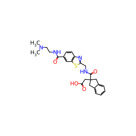 CN(C)CCNC(=O)c1ccc2nc(CNC(=O)C3(CC(=O)O)Cc4ccccc4C3)sc2c1